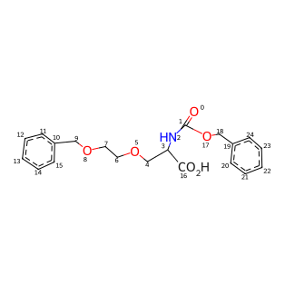 O=C(NC(COCCOCc1ccccc1)C(=O)O)OCc1ccccc1